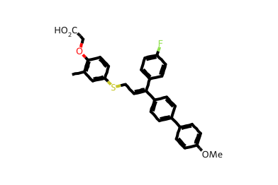 COc1ccc(-c2ccc(/C(=C/CSc3ccc(OCC(=O)O)c(C)c3)c3ccc(F)cc3)cc2)cc1